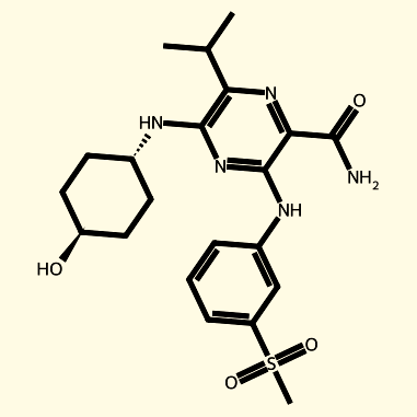 CC(C)c1nc(C(N)=O)c(Nc2cccc(S(C)(=O)=O)c2)nc1N[C@H]1CC[C@H](O)CC1